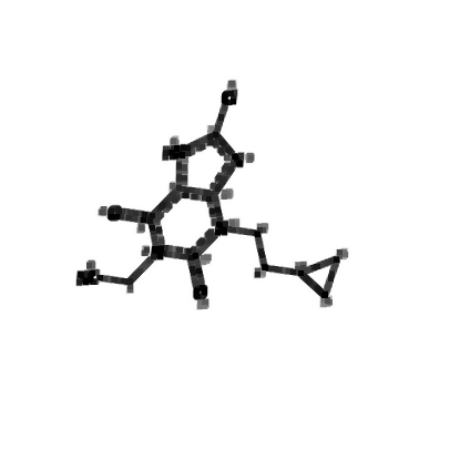 N#CCn1c(=O)c2[nH]c(Cl)nc2n(CCC2CC2)c1=O